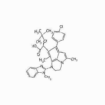 Cc1c([C@H](OC(C)(C)C)C(=O)O)c(-c2ccc(Cl)cc2)c2cc(C)n3c2c1N(c1nc2ccccc2n1C)CC3